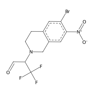 O=CC(N1CCc2cc(Br)c([N+](=O)[O-])cc2C1)C(F)(F)F